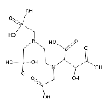 O=C(O)CN(CCN(CP(=O)(O)O)CP(=O)(O)O)C(C(=O)O)C(O)C(=O)O